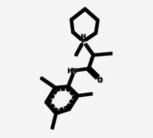 Cc1cc(C)c(NC(=O)C(C)[PH]2(C)CCCCC2)c(C)c1